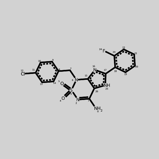 NC1=NS(=O)(=O)N(Cc2ccc(Cl)cc2)c2nc(-c3ccccc3F)[nH]c21